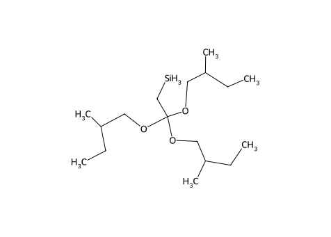 CCC(C)COC(C[SiH3])(OCC(C)CC)OCC(C)CC